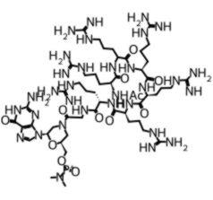 CC(=O)N[C@@H](CCCNC(=N)N)C(=O)NC(CCCNC(=N)N)C(=O)N[C@@H](CCCNC(=N)N)C(=O)N[C@@H](CCCNC(=N)N)C(=O)N[C@@H](CCCNC(=N)N)C(=O)N[C@@H](CCCNC(=N)N)C(=O)NCC(=O)N1C[C@@H](CO[P+](=O)N(C)C)O[C@@H](n2cnc3c(=O)[nH]c(N)nc32)C1